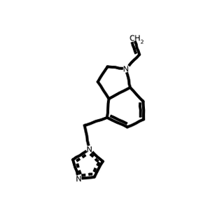 C=CN1CCC2C(Cn3ccnc3)=CC=CC21